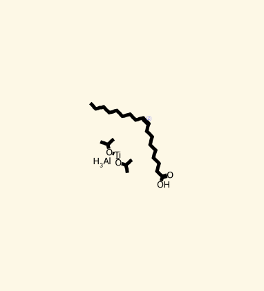 CC(C)[O][Ti][O]C(C)C.CCCCCCCC/C=C\CCCCCCCC(=O)O.[AlH3]